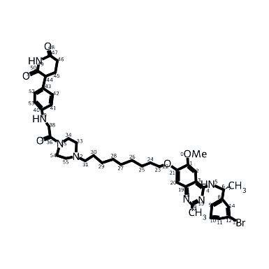 COc1cc2c(N[C@H](C)c3cccc(Br)c3)nc(C)nc2cc1OCCCCCCCCCN1CCN(C(=O)CNc2ccc(C3CCC(=O)NC3=O)cc2)CC1